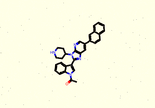 CC(=O)n1cc(-c2nc3cc(-c4ccc5ccccc5c4)cnc3n2C2CCNCC2)c2ccccc21